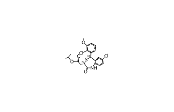 COc1cccc([C@@H]2S[C@@H](CC(=O)OC(C)C)C(=O)Nc3ccc(Cl)cc32)c1Cl